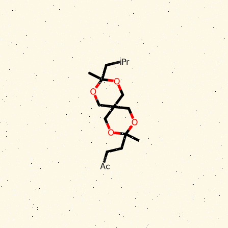 CC(=O)CCC1(C)OCC2(CO1)COC(C)(CC(C)C)OC2